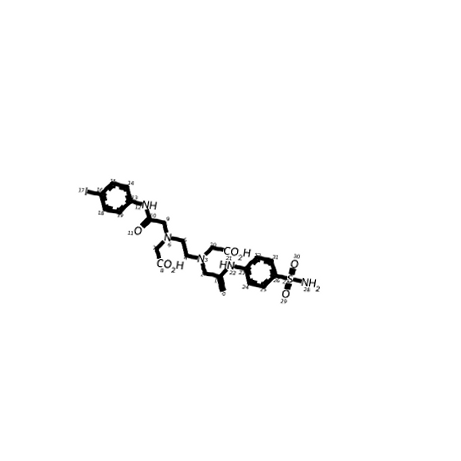 C=C(CN(CCN(CC(=O)O)CC(=O)Nc1ccc(I)cc1)CC(=O)O)Nc1ccc(S(N)(=O)=O)cc1